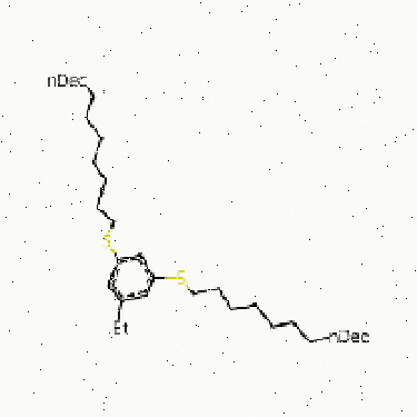 CCCCCCCCCCCCCCCCCSc1cc(CC)cc(SCCCCCCCCCCCCCCCCC)c1